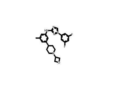 Cc1cc(Nc2ncn(-c3cc(F)cc(F)c3)n2)cc(C2CCN(C3COC3)CC2)c1